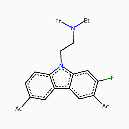 CCN(CC)CCn1c2ccc(C(C)=O)cc2c2cc(C(C)=O)c(F)cc21